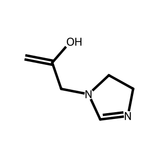 C=C(O)CN1C=NCC1